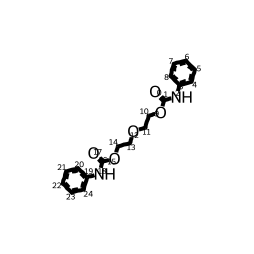 O=C(Nc1ccccc1)OCCOCCOC(=O)Nc1ccccc1